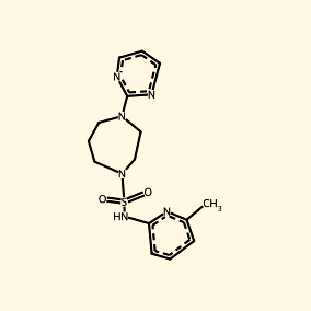 Cc1cccc(NS(=O)(=O)N2CCCN(c3ncccn3)CC2)n1